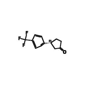 O=C1CC[C@@H](c2ccc(C(F)(F)F)cc2)C1